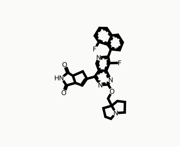 O=C1NC(=O)C2CC(c3nc(OCC45CCCN4CCC5)nc4c(F)c(-c5cccc6cccc(F)c56)ncc34)=CC12